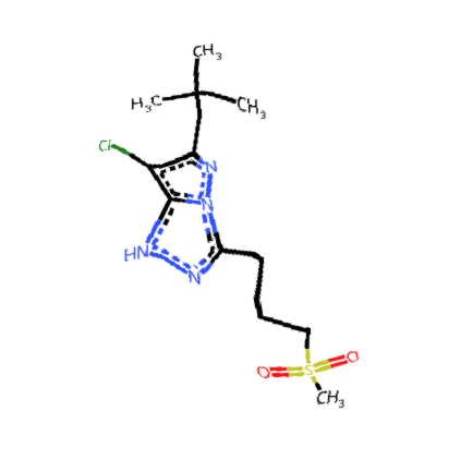 CC(C)(C)c1nn2c(CCCS(C)(=O)=O)n[nH]c2c1Cl